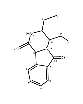 CCC1NC(=O)C2c3ccccc3C(=O)N2C1CC